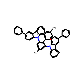 N#Cc1cc(-n2c3ccccc3c3cc(-c4ccccc4)ccc32)c(-c2ccc(C#N)cc2C(F)(F)F)c(-n2c3ccccc3c3cc(-c4ccccc4)ccc32)c1